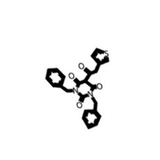 O=C(Cc1ccsc1)C1C(=O)N(Cc2ccccc2)C(=O)N(Cc2ccccc2)C1=O